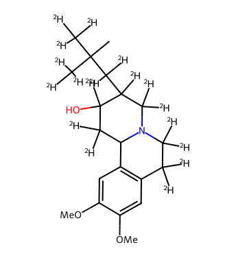 [2H]C([2H])([2H])C(C)(C([2H])([2H])[2H])C([2H])([2H])C1([2H])C([2H])([2H])N2C(c3cc(OC)c(OC)cc3C([2H])([2H])C2([2H])[2H])C([2H])([2H])C1([2H])O